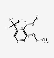 CCOc1cccc(C(F)(F)F)c1SCBr